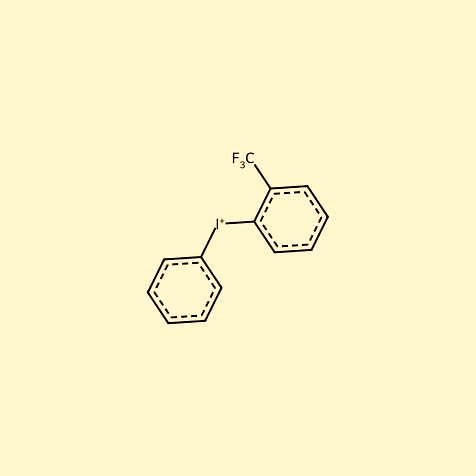 FC(F)(F)c1ccccc1[I+]c1ccccc1